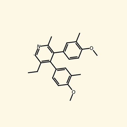 CCc1[c]nc(C)c(-c2ccc(OC)c(C)c2)c1-c1ccc(OC)c(C)c1